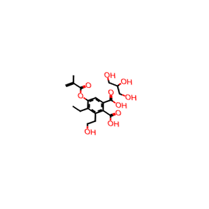 C=C(C)C(=O)Oc1cc(C(=O)O)c(C(=O)O)c(CCO)c1CC.OCC(O)CO